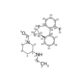 CSNC1CCCN(C(=O)[C@@H]2C[C@H]2c2ccccc2-c2c(F)cccc2F)C1